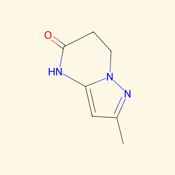 Cc1cc2n(n1)CCC(=O)N2